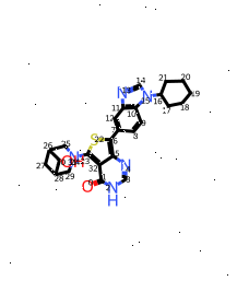 O=c1[nH]cnc2c(-c3ccc4c(c3)ncn4C3CCCCC3)sc(N3CC4CC(C3)C4O)c12